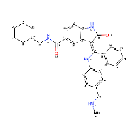 CCCCNCc1ccc(NC(=C2C(=O)Nc3ccc(C(=O)NCC4CCCCC4)cc32)c2ccccc2)cc1